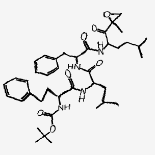 CC(C)CCC(NC(=O)C(Cc1ccccc1)NC(=O)C(CC(C)C)NC(=O)[C@H](CCc1ccccc1)NC(=O)OC(C)(C)C)C(=O)C1(C)CO1